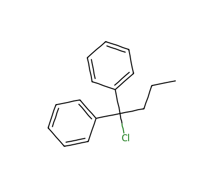 CCCC(Cl)(c1ccccc1)c1ccccc1